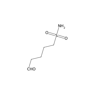 NS(=O)(=O)CCCCC=O